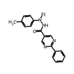 CCN(NC(=O)c1cnc(-c2ccccc2)nc1)c1ccc(C)cc1